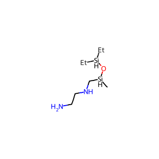 CC[SiH](CC)O[SiH](C)CNCCN